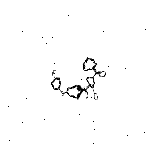 O=C(c1ccccc1)c1ccc(Sc2ccc(Sc3ccc(F)cc3)cc2)c(Cl)c1